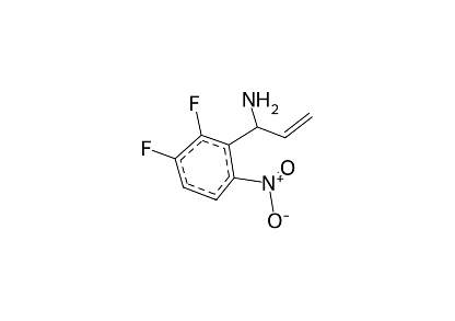 C=CC(N)c1c([N+](=O)[O-])ccc(F)c1F